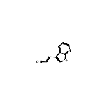 O=[N+]([O-])/C=C/c1c[nH]c2ncccc12